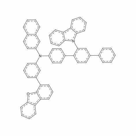 c1ccc(-c2ccc(-c3ccc(N(c4cccc(-c5cccc6c5oc5ccccc56)c4)c4ccc5ccccc5c4)cc3)c(-n3c4ccccc4c4ccccc43)c2)cc1